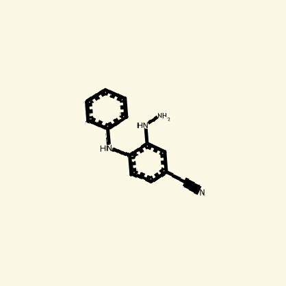 N#Cc1ccc(Nc2ccccc2)c(NN)c1